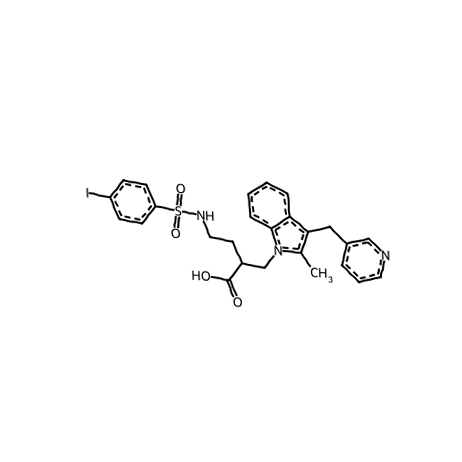 Cc1c(Cc2cccnc2)c2ccccc2n1CC(CCNS(=O)(=O)c1ccc(I)cc1)C(=O)O